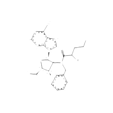 CCCC(N)C(=O)N(Cc1ccccc1)C1[C@@H](O)[C@@H](CO)O[C@H]1n1cnc2c(N)ncnc21